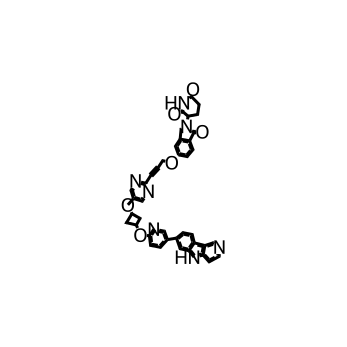 O=C1CCC(N2Cc3cc(OCC#Cc4ncc(OC5CC(Oc6ccc(-c7ccc8c(c7)[nH]c7ccncc78)cn6)C5)cn4)ccc3C2=O)C(=O)N1